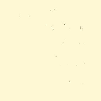 N#Cc1nn(-c2c(Cl)cc(C(F)(F)F)cc2Cl)cc1C(=O)C1CCC1C(=O)C1CCC1